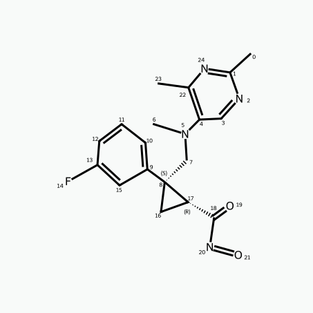 Cc1ncc(N(C)C[C@@]2(c3cccc(F)c3)C[C@H]2C(=O)N=O)c(C)n1